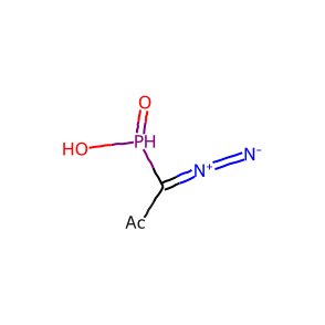 CC(=O)C(=[N+]=[N-])[PH](=O)O